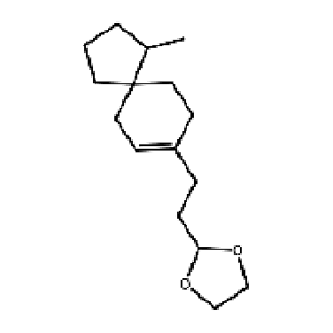 CC1CCCC12CC=C(CCC1OCCO1)CC2